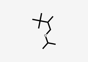 CC(C)OCC(C)C(C)(C)C